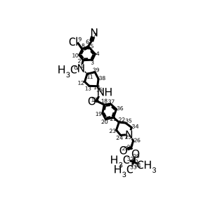 CN(c1ccc(C#N)c(Cl)c1)[C@H]1CC[C@H](NC(=O)c2ccc(C3CCN(CC(=O)OC(C)(C)C)CC3)cc2)CC1